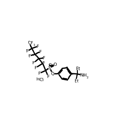 CCC(N)(CC)c1ccc(OS(=O)(=O)C(F)(F)C(F)(F)C(F)(F)C(F)(F)C(F)(F)C(F)(F)F)cc1.Cl